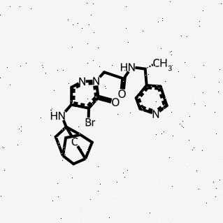 C[C@@H](NC(=O)Cn1ncc(NC23CC4CC(CC2C4)C3)c(Br)c1=O)c1ccncc1